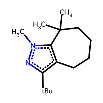 Cn1nc(C(C)(C)C)c2c1C(C)(C)CCCC2